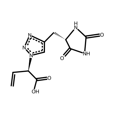 C=C[C@H](C(=O)O)n1cc(C[C@@H]2NC(=O)NC2=O)nn1